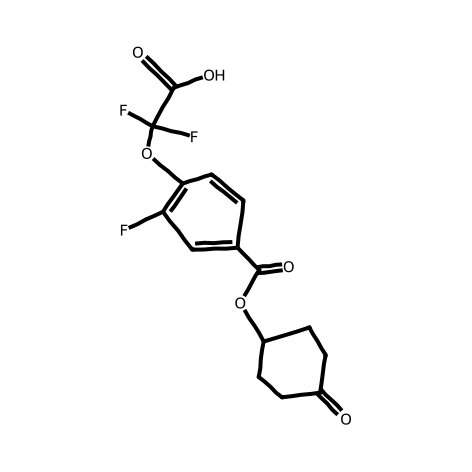 O=C1CCC(OC(=O)c2ccc(OC(F)(F)C(=O)O)c(F)c2)CC1